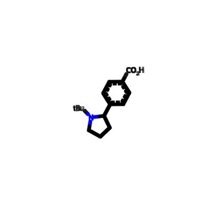 CC(C)(C)N1CCCC1c1ccc(C(=O)O)cc1